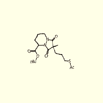 CCCCOC(=O)C1CCCN2C(=O)C(C)(CCCSC(C)=O)C(=O)N12